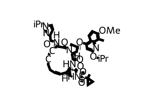 COc1ccc2c(O[C@@H]3C[C@H]4C(=O)N[C@]5(C(=O)NS(=O)(=O)C6(C)CC6)C[C@H]5C=CCCCCC[C@H](NC(=O)c5ccn(C(C)C)n5)C(=O)N4C3)cc(OC(C)C)nc2c1C